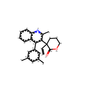 C=CC1(c2c(C)nc3ccccc3c2-c2cc(C)cc(C)c2)CCCOC1=O